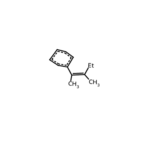 CC/C(C)=C(/C)c1ccccc1